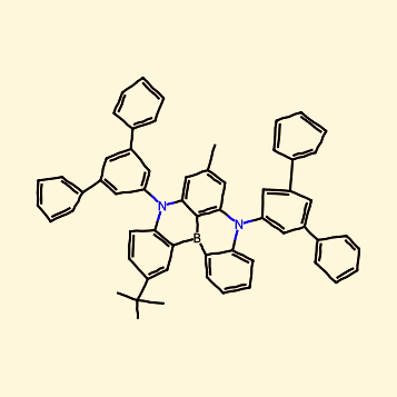 Cc1cc2c3c(c1)N(c1cc(-c4ccccc4)cc(-c4ccccc4)c1)c1ccc(C(C)(C)C)cc1B3c1ccccc1N2c1cc(-c2ccccc2)cc(-c2ccccc2)c1